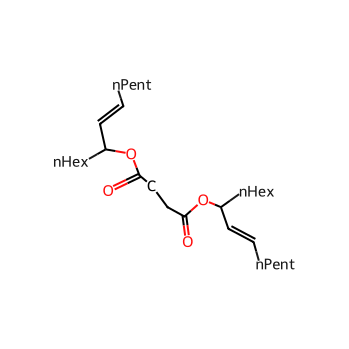 CCCCCC=CC(CCCCCC)OC(=O)CCC(=O)OC(C=CCCCCC)CCCCCC